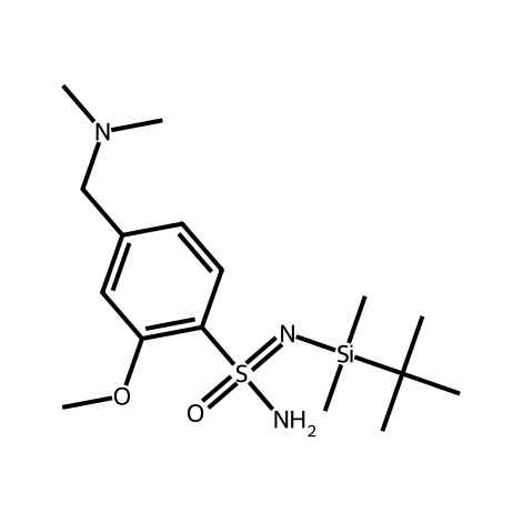 COc1cc(CN(C)C)ccc1S(N)(=O)=N[Si](C)(C)C(C)(C)C